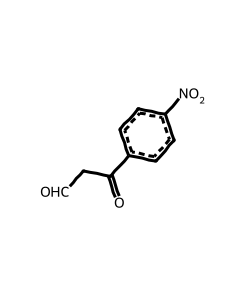 O=CCC(=O)c1ccc([N+](=O)[O-])cc1